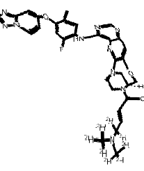 [2H]C([2H])([2H])N(C([2H])([2H])[2H])C([2H])([2H])/C=C/C(=O)N1CCN2C[C@H]1COc1cc3ncnc(Nc4cc(C)c(Oc5ccn6ncnc6c5)cc4F)c3nc12